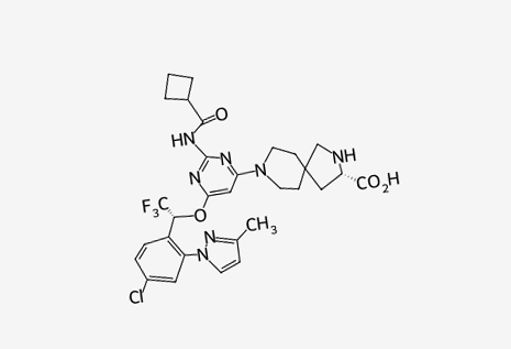 Cc1ccn(-c2cc(Cl)ccc2[C@@H](Oc2cc(N3CCC4(CC3)CN[C@H](C(=O)O)C4)nc(NC(=O)C3CCC3)n2)C(F)(F)F)n1